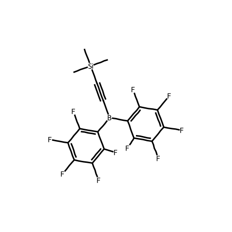 C[Si](C)(C)C#CB(c1c(F)c(F)c(F)c(F)c1F)c1c(F)c(F)c(F)c(F)c1F